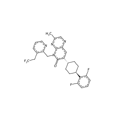 Cc1cnc2cc([C@H]3CC[C@H](c4c(F)cccc4F)CC3)c(=O)n(Cc3ncccc3CC(F)(F)F)c2n1